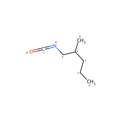 CCCC(C)CN=C=O